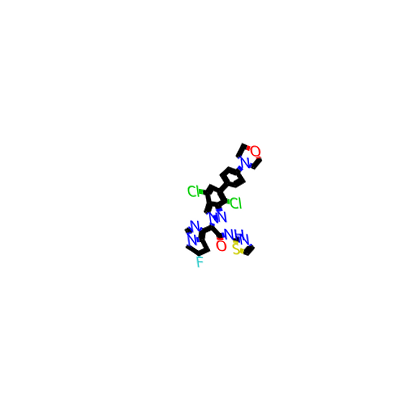 O=C(Nc1nccs1)C(c1ncn2c1C[C@@H](F)C2)n1cc2c(Cl)cc(-c3ccc(N4CCOCC4)cc3)c(Cl)c2n1